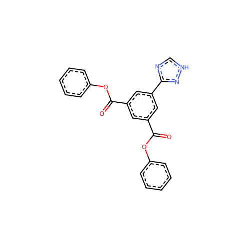 O=C(Oc1ccccc1)c1cc(C(=O)Oc2ccccc2)cc(-c2nc[nH]n2)c1